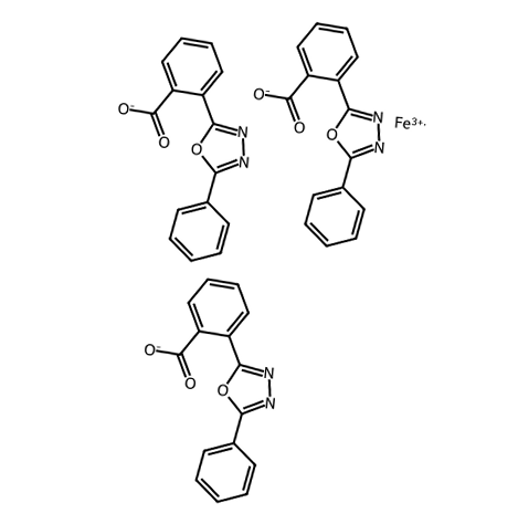 O=C([O-])c1ccccc1-c1nnc(-c2ccccc2)o1.O=C([O-])c1ccccc1-c1nnc(-c2ccccc2)o1.O=C([O-])c1ccccc1-c1nnc(-c2ccccc2)o1.[Fe+3]